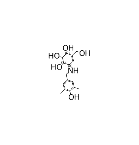 Cc1cc(CN[C@H]2C=C(CO)[C@@H](O)C(O)[C@H]2O)cc(C)c1O